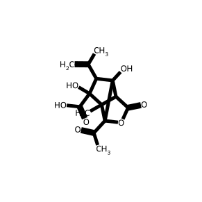 C=C(C)C1C(O)(C(=O)O)C2(C)C3C(=O)OC2(C(C)=O)C13O